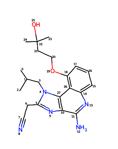 CC(C)Cn1c(CC#N)nc2c(N)nc3cccc(OCCC(C)(C)O)c3c21